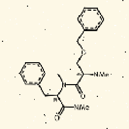 CNC(=O)[C@@H](Cc1ccccc1)N(C)C(=O)[C@@H](COCc1ccccc1)NC